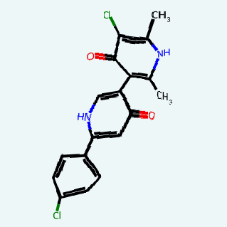 Cc1[nH]c(C)c(-c2c[nH]c(-c3ccc(Cl)cc3)cc2=O)c(=O)c1Cl